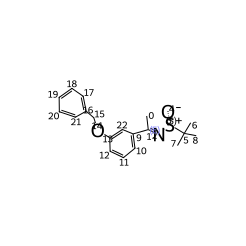 C/C(=N\[S@+]([O-])C(C)(C)C)c1cccc(OCc2ccccc2)c1